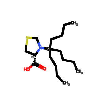 CCC[CH2][Sn]([CH2]CCC)([CH2]CCC)[N]1CSC[C@H]1C(=O)O